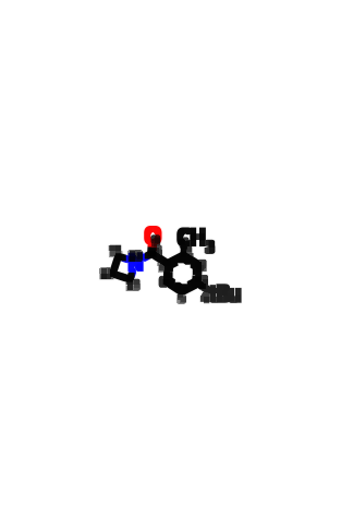 Cc1cc(C(C)(C)C)ccc1C(=O)N1CCC1